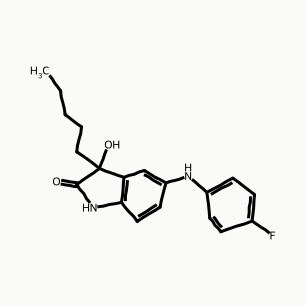 CCCCCC1(O)C(=O)Nc2ccc(Nc3ccc(F)cc3)cc21